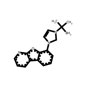 BC(C)(C)N1C=CN(c2cccc3c2oc2ncccc23)C1